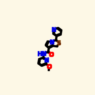 COc1cccc(NC(=O)c2ccn3c2CSC3c2cccnc2)n1